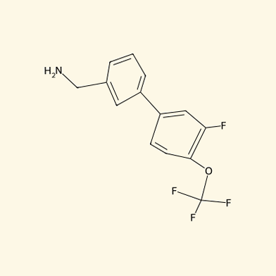 NCc1cccc(-c2ccc(OC(F)(F)F)c(F)c2)c1